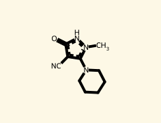 Cn1[nH]c(=O)c(C#N)c1N1CCCCC1